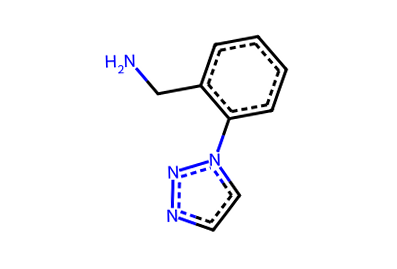 NCc1ccccc1-n1ccnn1